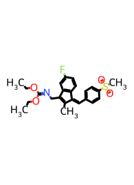 CCOC(=NCC1=C(C)/C(=C/c2ccc(S(C)(=O)=O)cc2)c2ccc(F)cc21)OCC